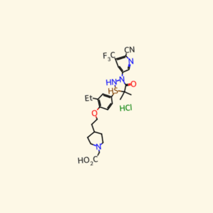 CCc1cc([SH]2NN(c3cnc(C#N)c(C(F)(F)F)c3)C(=O)C2(C)C)ccc1OCCC1CCN(CC(=O)O)CC1.Cl